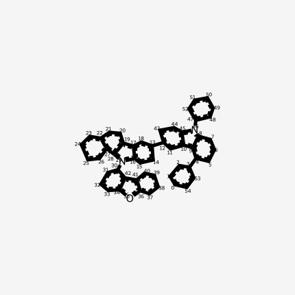 c1ccc(-c2cccc3c2c2cc(-c4ccc5c(c4)c4ccc6ccccc6c4n5-c4cccc5oc6ccccc6c45)ccc2n3-c2ccccc2)cc1